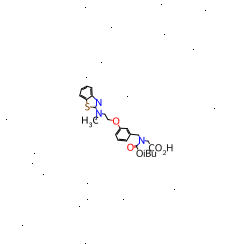 CC(C)COC(=O)N(CC(=O)O)Cc1cccc(OCCN(C)c2nc3ccccc3s2)c1